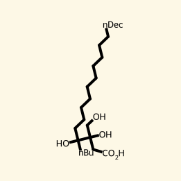 CCCCCCCCCCCCCCCCCCCCC(O)(CCCC)C(O)(CO)CC(=O)O